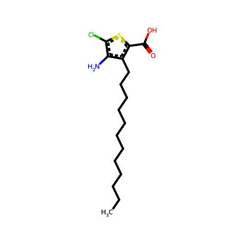 CCCCCCCCCCCCc1c(C(=O)O)sc(Cl)c1N